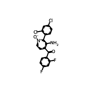 Nc1c(C(=O)c2ccc(F)cc2F)cc[n+]([O-])c1-c1ccc(Cl)cc1Cl